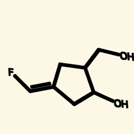 OCC1CC(=CF)CC1O